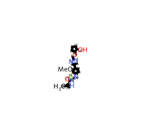 COc1c(-c2cnc(CO[C@H]3CCC[C@@H]3O)nc2)ccc2nc(NC(=O)[C@H]3C[C@H]3C)sc12